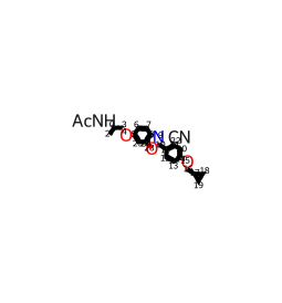 CC(=O)N[C@@H](C)COc1ccc2nc(-c3ccc(OCC4CC4)cc3C#N)oc2c1